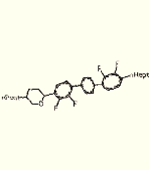 CCCCCCCc1ccc(-c2ccc(-c3ccc(C4CCC(CCCCC)CO4)c(F)c3F)cc2)c(F)c1F